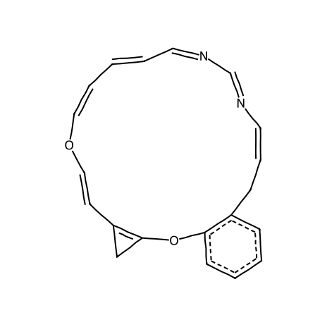 C1=C/O/C=C/C2=C(C2)Oc2ccccc2C\C=C/N=C/N=C\C=C\1